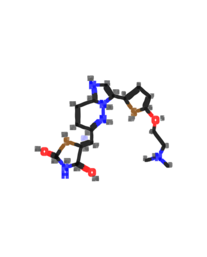 CN(C)CCOc1ccc(-c2cnc3ccc(/C=C4\SC(=O)NC4=O)nn23)s1